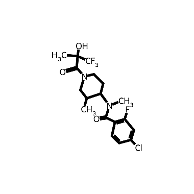 CC1CN(C(=O)C(C)(O)C(F)(F)F)CCC1N(C)C(=O)c1ccc(Cl)cc1F